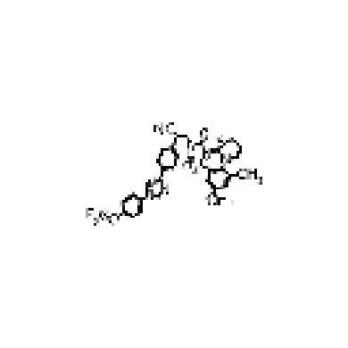 Cc1cc(C)c(N2CCCS/C2=N\C(=O)NCC(C#N)c2ccc(-c3ncn(-c4ccc(OC(F)(F)F)cc4)n3)cc2)c(C)c1